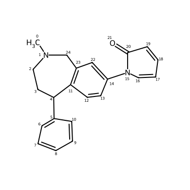 CN1CCC(c2ccccc2)c2ccc(-n3ccccc3=O)cc2C1